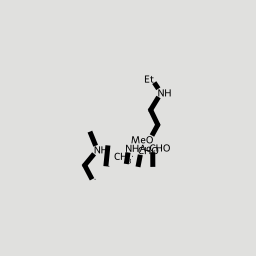 CC=O.CC=O.[CH2]C.[CH2]C(=O)NC.[CH2]CNC.[CH2]CNCCOC.[CH3]